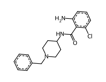 Nc1cccc(Cl)c1C(=O)NC1CCN(Cc2ccccc2)CC1